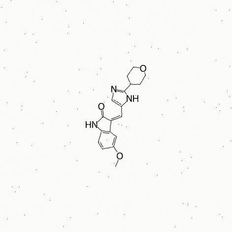 COc1ccc2c(c1)C(=Cc1cnc(C3CCOCC3)[nH]1)C(=O)N2